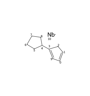 C1=CCC(C2CCCC2)=C1.[Nb]